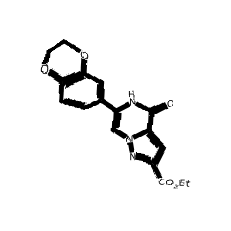 CCOC(=O)c1cc2c(=O)[nH]c(-c3ccc4c(c3)OCCO4)cn2n1